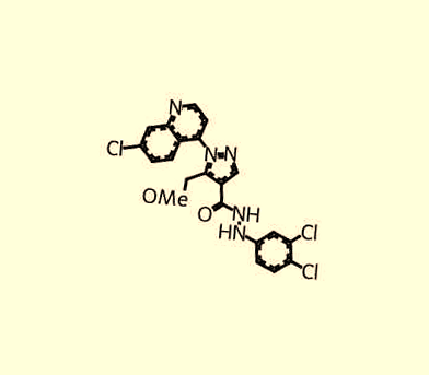 COCc1c(C(=O)NNc2ccc(Cl)c(Cl)c2)cnn1-c1ccnc2cc(Cl)ccc12